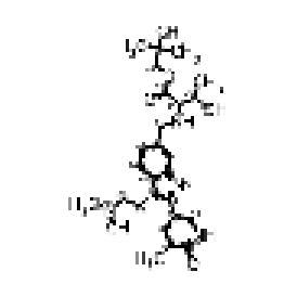 Cc1cc(-c2nc3cc(CNC(C(=O)OCC(C)(C)C)C(C)O)ccc3n2CCN(C)C)c[nH]c1=O